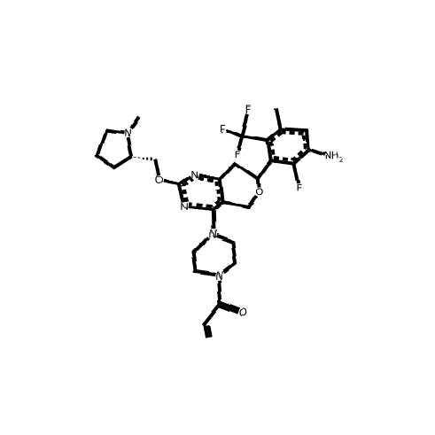 C=CC(=O)N1CCN(c2nc(OC[C@@H]3CCCN3C)nc3c2COC(c2c(F)c(N)cc(C)c2C(F)(F)F)C3)CC1